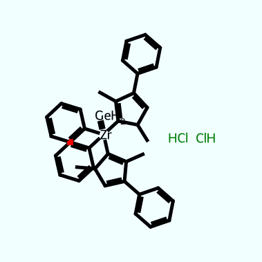 CC1=[C]([Zr](=[GeH2])([C]2=C(C)C(c3ccccc3)=CC2C)([c]2ccccc2)[c]2ccccc2)C(C)C=C1c1ccccc1.Cl.Cl